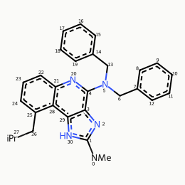 CNc1nc2c(N(Cc3ccccc3)Cc3ccccc3)nc3cccc(CC(C)C)c3c2[nH]1